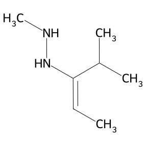 C/C=C(/NNC)C(C)C